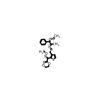 CO/N=C(\C(C)=N\OCc1ccsc1/C(=N\OC)C1=NOCCO1)c1ccccc1